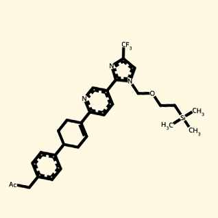 CC(=O)Cc1ccc(C2CC=C(c3ccc(-c4nc(C(F)(F)F)cn4COCC[Si](C)(C)C)cn3)CC2)cc1